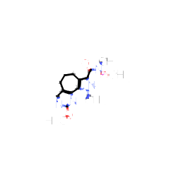 COc1ncc2c(n1)-c1c(c(C(=O)N(C)OC)nn1C)CCC2